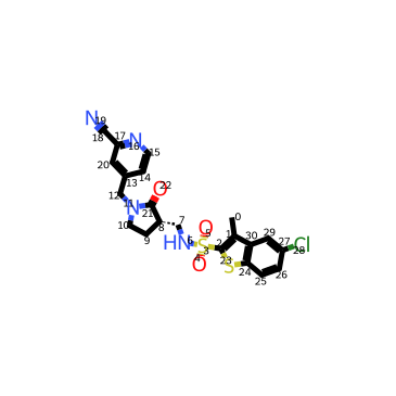 Cc1c(S(=O)(=O)NC[C@@H]2CCN(Cc3ccnc(C#N)c3)C2=O)sc2ccc(Cl)cc12